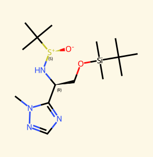 Cn1ncnc1[C@H](CO[Si](C)(C)C(C)(C)C)N[S@+]([O-])C(C)(C)C